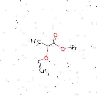 C=COC(C)C(=O)OC(C)C